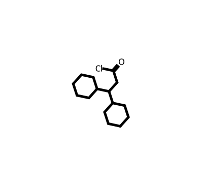 O=C(Cl)CC(C1CCCCC1)C1CCCCC1